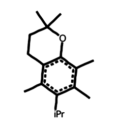 Cc1c(C)c(C(C)C)c(C)c2c1OC(C)(C)CC2